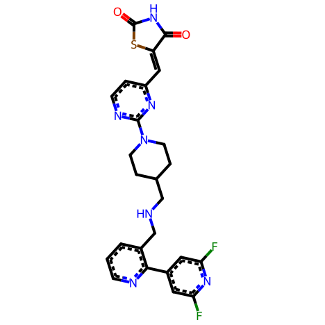 O=C1NC(=O)/C(=C/c2ccnc(N3CCC(CNCc4cccnc4-c4cc(F)nc(F)c4)CC3)n2)S1